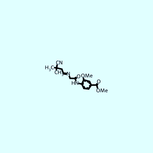 COC(=O)c1ccc(NC(=O)CN=CCC(C)(C)C#N)c(OC)c1